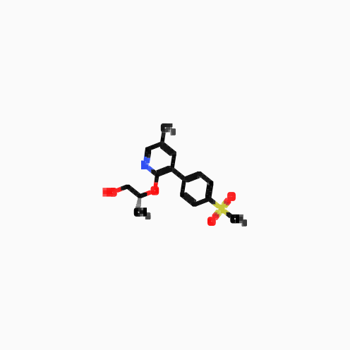 C[C@H](CO)Oc1ncc(C(F)(F)F)cc1-c1ccc(S(C)(=O)=O)cc1